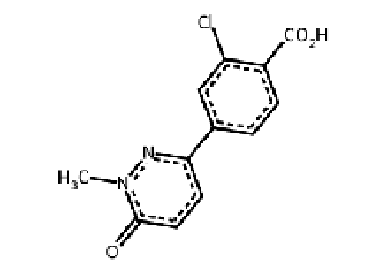 Cn1nc(-c2ccc(C(=O)O)c(Cl)c2)ccc1=O